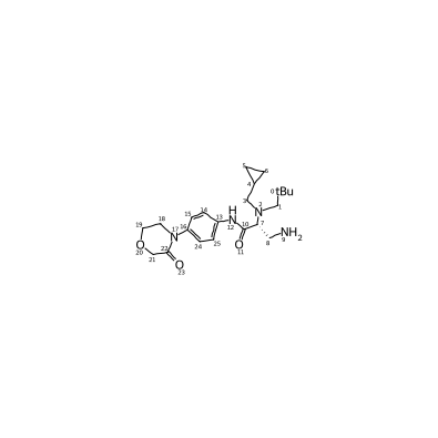 CC(C)(C)CN(CC1CC1)[C@H](CN)C(=O)Nc1ccc(N2CCOCC2=O)cc1